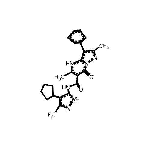 Cc1[nH]c2c(-c3ccccc3)c(C(F)(F)F)nn2c(=O)c1C(=O)Nc1[nH]nc(C(F)(F)F)c1C1CCCC1